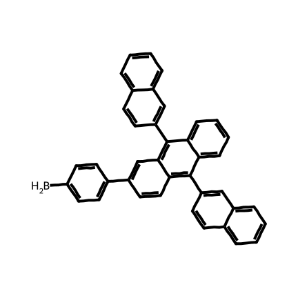 Bc1ccc(-c2ccc3c(-c4ccc5ccccc5c4)c4ccccc4c(-c4ccc5ccccc5c4)c3c2)cc1